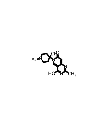 CC(=O)N1CCC(C)(n2cc3c(O)nc(C)nc3cc2=O)CC1